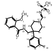 COc1ccccc1C(=O)NCC1(c2cccc(F)c2)CCN(/C=N/S(C)(=O)=O)CC1